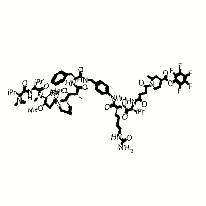 CC[C@H](C)[C@@H]([C@@H](CC(=O)N1CCC[C@H]1[C@H](OC)[C@@H](C)C(=O)N[C@@H](Cc1ccccc1)C(=O)NCc1ccc(NC(=O)[C@H](CCCCNC(N)=O)NC(=O)[C@@H](NC(=O)CCC(=O)N2CCC(C(=O)Oc3c(F)c(F)c(F)c(F)c3F)CC2C)C(C)C)cc1)OC)N(C)C(=O)[C@@H](NC(=O)[C@H](C(C)C)N(C)C)C(C)C